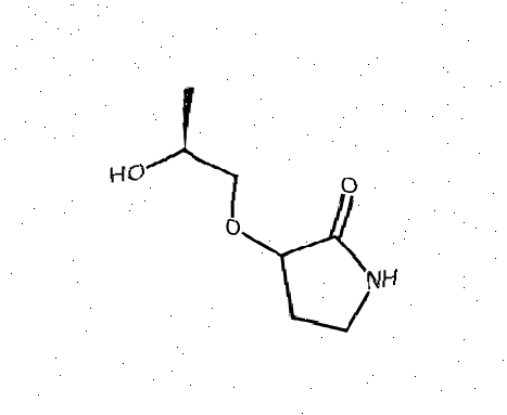 C[C@H](O)COC1CCNC1=O